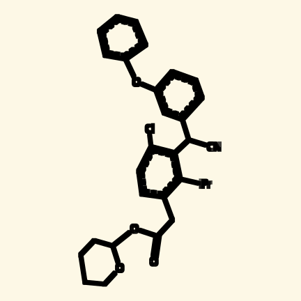 CC(C)c1c(CC(=O)OC2CCCCO2)ccc(Cl)c1C(C#N)c1cccc(Oc2ccccc2)c1